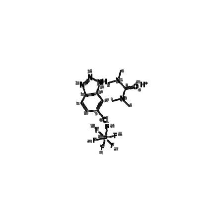 CN(C)C(=O)N(C)C.Clc1ccc2nn[nH]c2c1.F[P-](F)(F)(F)(F)F.[H+]